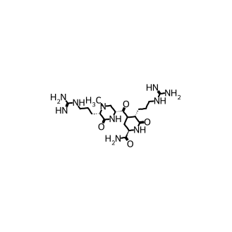 CN1C[C@H](C(=O)C2C[C@H](C(N)=O)NC(=O)[C@H]2CCCNC(=N)N)NC(=O)[C@@H]1CCCNC(=N)N